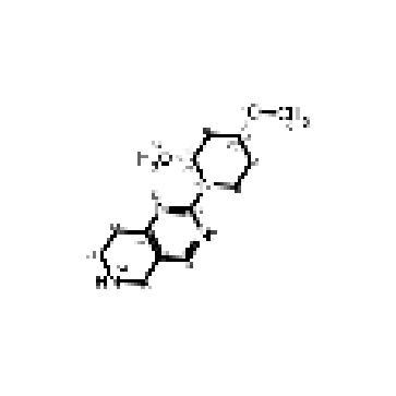 CO[C@@H]1CCN(c2ncc3c(n2)CCNC3)[C@H](C)C1